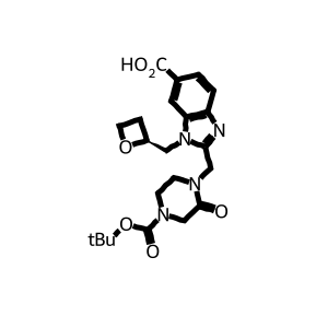 CC(C)(C)OC(=O)N1CCN(Cc2nc3ccc(C(=O)O)cc3n2C[C@@H]2CCO2)C(=O)C1